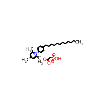 CCCCCCCCCCCCc1ccc(-[n+]2c(C)cc(C)cc2C)cc1.O=C([O-])CS(=O)(=O)O